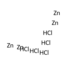 Cl.Cl.Cl.Cl.Cl.[Zn].[Zn].[Zn].[Zn]